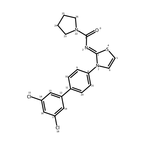 O=C(/N=c1\sccn1-c1ccc(-c2cc(Cl)cc(Cl)c2)cc1)N1CCCC1